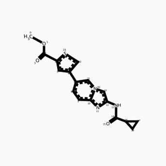 COC(=O)c1cc(-c2ccc3nc(NC(=O)C4CC4)cn3c2)cs1